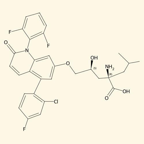 CC(C)C[C@@](N)(C[C@H](O)COc1cc(-c2ccc(F)cc2Cl)c2ccc(=O)n(-c3c(F)cccc3F)c2c1)C(=O)O